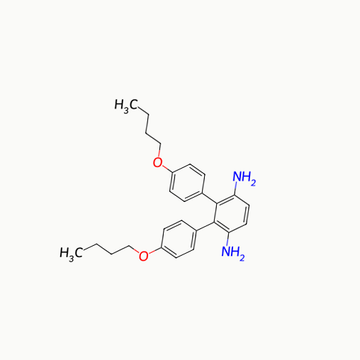 CCCCOc1ccc(-c2c(N)ccc(N)c2-c2ccc(OCCCC)cc2)cc1